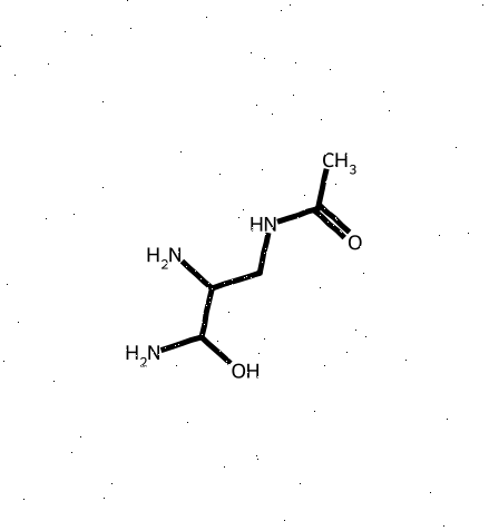 CC(=O)NCC(N)C(N)O